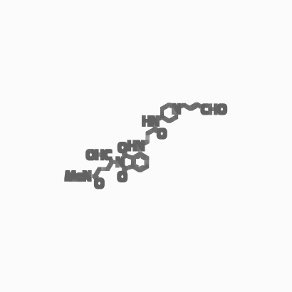 CNC(=O)CCC(C=O)N1C(=O)c2cccc(NCCC(=O)NC3CCN(C/C=C/C=O)CC3)c2C1=O